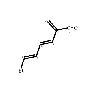 C=C(C=O)C=CC=CCC